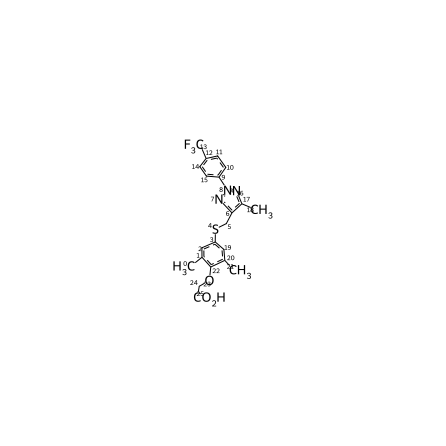 Cc1cc(SCc2nn(-c3ccc(C(F)(F)F)cc3)nc2C)cc(C)c1OCC(=O)O